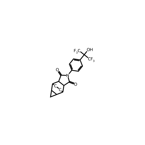 O=C1C2C3CCC(C4CC43)C2C(=O)N1c1ccc(C(O)(C(F)(F)F)C(F)(F)F)cc1